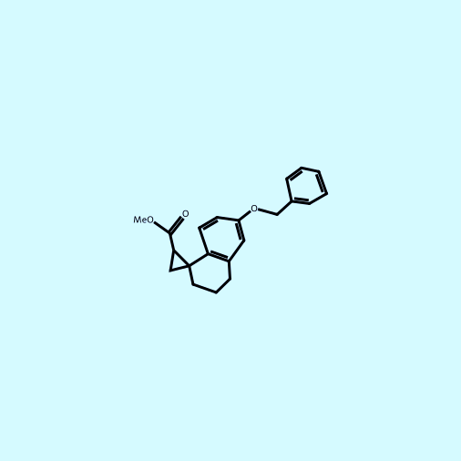 COC(=O)C1CC12CCCc1cc(OCc3ccccc3)ccc12